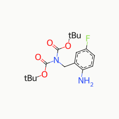 CC(C)(C)OC(=O)N(Cc1cc(F)ccc1N)C(=O)OC(C)(C)C